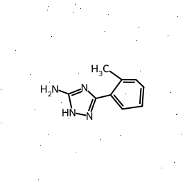 Cc1ccccc1-c1n[nH]c(N)n1